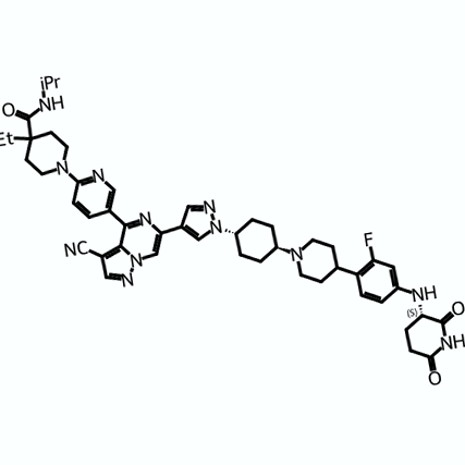 CCC1(C(=O)NC(C)C)CCN(c2ccc(-c3nc(-c4cnn([C@H]5CC[C@H](N6CCC(c7ccc(N[C@H]8CCC(=O)NC8=O)cc7F)CC6)CC5)c4)cn4ncc(C#N)c34)cn2)CC1